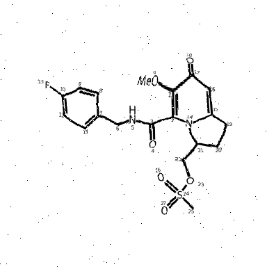 COc1c(C(=O)NCc2ccc(F)cc2)n2c(cc1=O)CCC2COS(C)(=O)=O